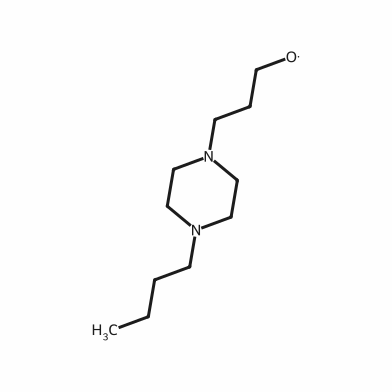 CCCCN1CCN(CCC[O])CC1